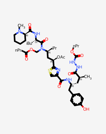 CCCOC(=O)NNC(=O)[C@@H](C)C[C@H](Cc1ccc(O)cc1)NC(=O)c1csc([C@@H](C[C@H](C(C)C)N(COC(=O)CCC)C(=O)[C@@H](NC(=O)[C@H]2CCCCN2C)C(C)CC)OC(C)=O)n1